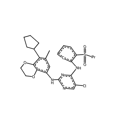 Cc1cc(Nc2ncc(Cl)c(Nc3ccccc3S(=O)(=O)C(C)C)n2)c2c(c1C1CCCC1)OCCO2